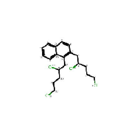 ClCCCC(Cl)Cc1ccc2ccccc2c1CC(Cl)CCCCl